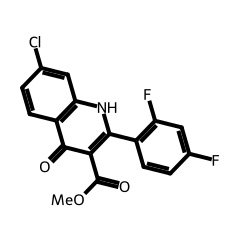 COC(=O)c1c(-c2ccc(F)cc2F)[nH]c2cc(Cl)ccc2c1=O